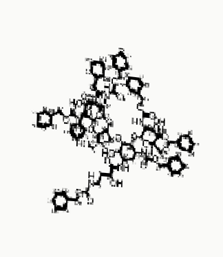 O=C(NCC[C@H](O)C(=O)N[C@@H]1C[C@H](NC(=O)OCc2ccccc2)[C@@H](O[C@H]2O[C@@H]3COC(c4ccccc4)O[C@H]3[C@H](O)[C@H]2NC(=O)OCc2ccccc2)[C@H](O[C@@H]2O[C@H](CO)[C@@H](O[C@H]3O[C@@H](CNC(=O)OCc4ccccc4)[C@@H](O)[C@H](O)[C@H]3NC(=O)OCc3ccccc3)[C@H]2OCCN(CCc2ccccc2)C(=O)OCc2ccccc2)[C@H]1O)OCc1ccccc1